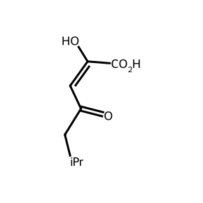 CC(C)CC(=O)/C=C(/O)C(=O)O